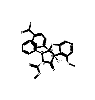 COC(=O)[C@H]1C(=O)[C@@]2(O)c3c(OC)cncc3O[C@@]2(c2ccc(C(F)F)cc2)[C@@H]1c1ccccc1